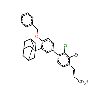 CCc1c(C=CC(=O)O)ccc(-c2ccc(OCc3ccccc3)c(C34CC5CC(CC(C5)C3)C4)c2)c1Cl